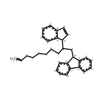 C=CCCCCCCC(CC1c2ccccc2-c2ccccc21)C1C=Cc2ccccc21